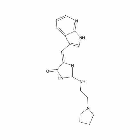 O=C1NC(NCCN2CCCC2)=N/C1=C\c1c[nH]c2ncccc12